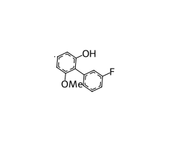 COc1c[c]cc(O)c1-c1cccc(F)c1